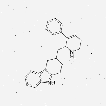 C1=C(c2ccccc2)C(CC2CCc3[nH]c4ccccc4c3C2)NCC1